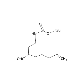 C=CCCCC(C=O)CCNC(=O)OC(C)(C)C